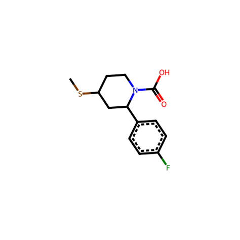 CSC1CCN(C(=O)O)C(c2ccc(F)cc2)C1